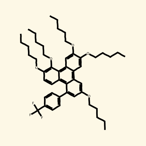 CCCCCOc1cc(-c2ccc(C(F)(F)F)cc2)c2c(c1)c1cc(OCCCCC)c(OCCCCC)cc1c1c(OCCCCC)c(OCCCCC)ccc21